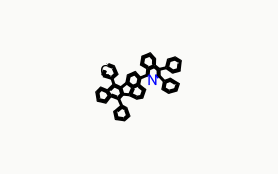 c1ccc(-c2nc(-c3ccc4c5c(cccc35)-c3c-4c(-c4ccccc4)c4ccccc4c3-c3ccccc3)c3ccccc3c2-c2ccccc2)cc1